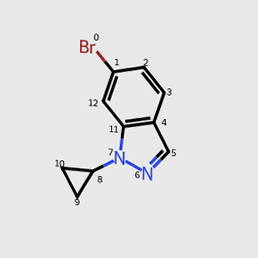 Brc1ccc2cnn(C3CC3)c2c1